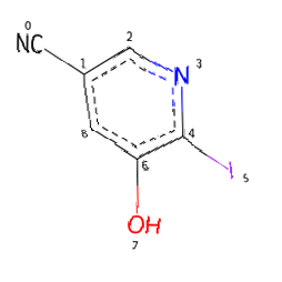 N#Cc1cnc(I)c(O)c1